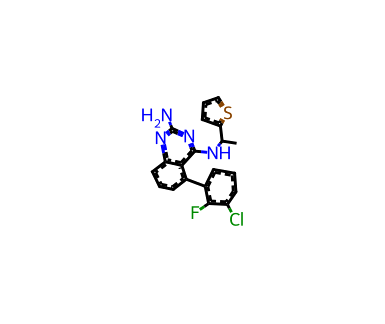 CC(Nc1nc(N)nc2cccc(-c3cccc(Cl)c3F)c12)c1cccs1